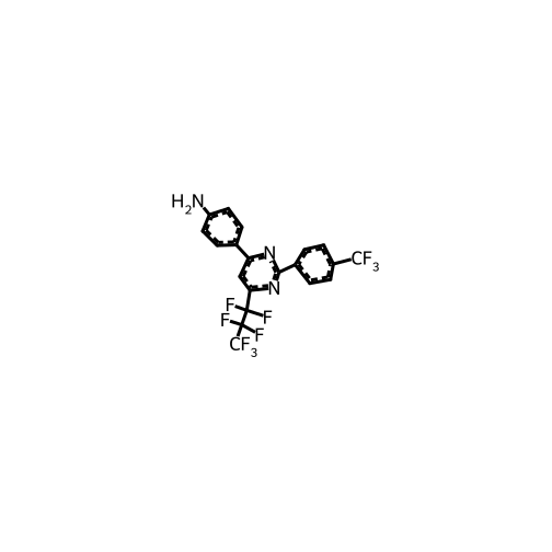 Nc1ccc(-c2cc(C(F)(F)C(F)(F)C(F)(F)F)nc(-c3ccc(C(F)(F)F)cc3)n2)cc1